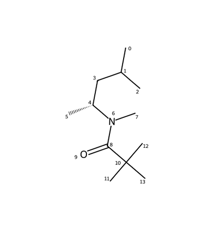 CC(C)C[C@@H](C)N(C)C(=O)C(C)(C)C